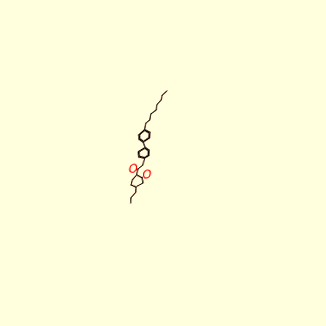 CCCCCCCCc1ccc(-c2ccc(CC(=O)C3CCC(CCC)CC3=O)cc2)cc1